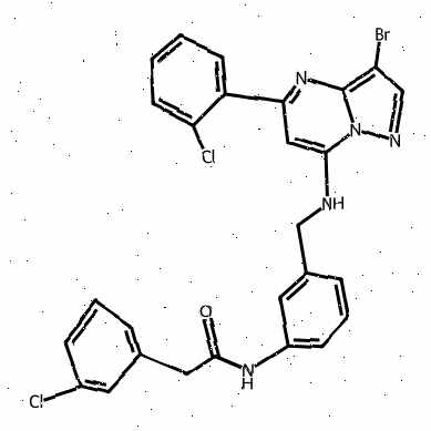 O=C(Cc1cccc(Cl)c1)Nc1cccc(CNc2cc(-c3ccccc3Cl)nc3c(Br)cnn23)c1